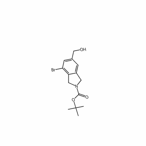 CC(C)(C)OC(=O)N1Cc2cc(CO)cc(Br)c2C1